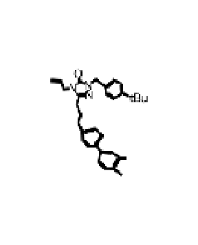 C=CCn1c(CCCc2ccc(-c3ccc(C)c(C)c3)cc2)nn(Cc2ccc(C(C)(C)C)cc2)c1=O